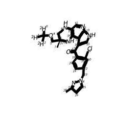 [2H]C([2H])([2H])OC[C@]1(C)CNc2cnc3[nH]cc(C(=O)c4ccc(Cn5ccc(C)n5)cc4Cl)c3c2N1